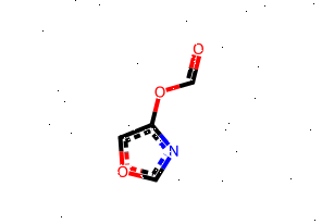 O=COc1cocn1